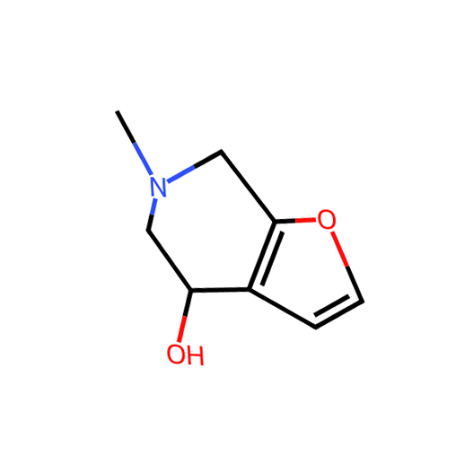 CN1Cc2occc2C(O)C1